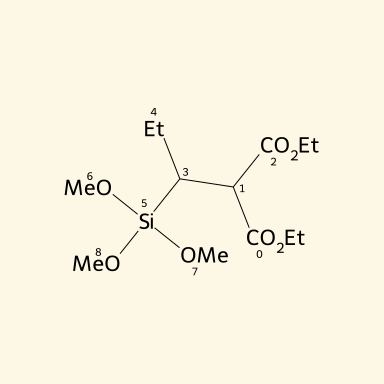 CCOC(=O)C(C(=O)OCC)C(CC)[Si](OC)(OC)OC